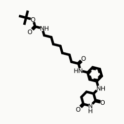 CC(C)(C)OC(=O)NCCCCCCCC(=O)Nc1cccc(NC2CCC(=O)NC2=O)c1